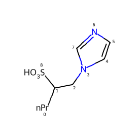 CCCC(Cn1ccnc1)S(=O)(=O)O